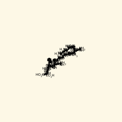 C[C@H](NC(=O)CNC(=O)[C@@H](N)CCCNC(=N)N)C(=O)N[C@@H](CC(=O)O)C(=O)N[C@@H](CCCNC(=N)N)C(=O)N[C@@H](C)C(=O)NCC(=O)NCC(=O)NCC(=O)NCC(=O)NCC(=O)N1CCC[C@H]1C(=O)N[C@@H](CCCNC(=N)N)C(=O)N[C@@H](CS)C(=O)N[C@@H](Cc1c[nH]c2ccccc12)C(=O)N[C@@H](CS)C(=O)NCC(=O)N[C@@H](CCC(=O)O)C(=O)O